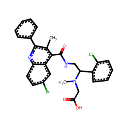 Cc1c(-c2ccccc2)nc2ccc(Br)cc2c1C(=O)NCC(c1ccccc1Cl)N(C)CC(=O)O